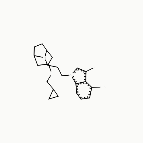 COc1cccc2c1c(C(C)=O)cn2CCCN1C2CCC1CC(OCC1CC1)C2